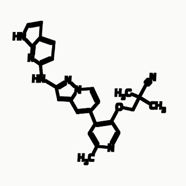 Cc1cc(-c2ccn3nc(Nc4ccc5cc[nH]c5n4)cc3c2)c(OCC(C)(C)C#N)cn1